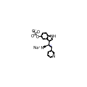 N#C/C(=C\c1cccnc1)c1c[nH]c2ccc(OS(=O)(=O)[O-])cc12.[Na+]